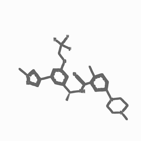 Cc1ccc(N2CCN(C)CC2)cc1C(=O)N[C@H](C)c1cc(OCC(F)(F)F)cc(-c2cnn(C)c2)c1